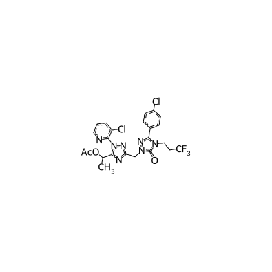 CC(=O)OC(C)c1nc(Cn2nc(-c3ccc(Cl)cc3)n(CCC(F)(F)F)c2=O)nn1-c1ncccc1Cl